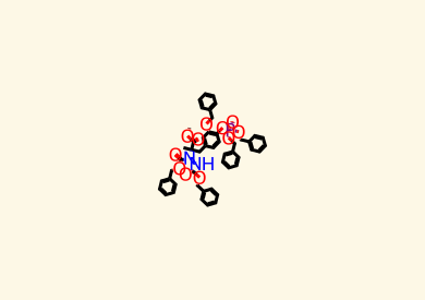 COC(=O)C(C)(Cc1ccc(OP(=O)(OCc2ccccc2)OCc2ccccc2)c(OCc2ccccc2)c1)N(NC(=O)OCc1ccccc1)C(=O)OCc1ccccc1